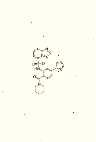 O=C(c1ccc(-c2cccs2)cc1NS(=O)(=O)c1cccc2nsnc12)N1CCCCC1